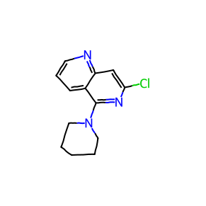 Clc1cc2ncccc2c(N2CCCCC2)n1